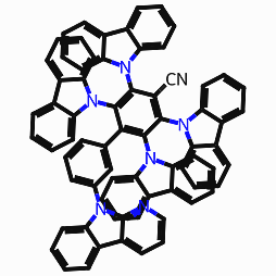 N#Cc1c(-n2c3ccccc3c3ccccc32)c(-n2c3ccccc3c3ccccc32)c(-c2cccc(-n3c4ccccc4c4cccnc43)c2)c(-n2c3ccccc3c3ccccc32)c1-n1c2ccccc2c2ccccc21